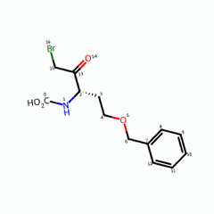 O=C(O)N[C@@H](CCOCc1ccccc1)C(=O)CBr